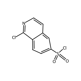 O=S(=O)(Cl)c1ccc2c(Cl)nccc2c1